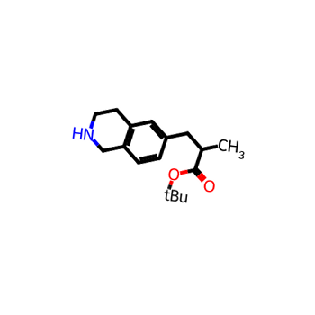 CC(Cc1ccc2c(c1)CCNC2)C(=O)OC(C)(C)C